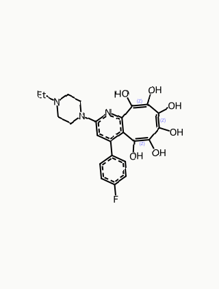 CCN1CCN(c2cc(-c3ccc(F)cc3)c3c(n2)\C(O)=C(O)/C(O)=C(O)\C(O)=C/3O)CC1